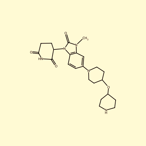 Cn1c(=O)n(C2CCC(=O)NC2=O)c2ccc(N3CCC(OC4CCNCC4)CC3)cc21